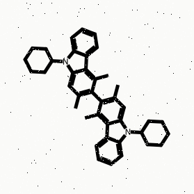 Cc1cc2c(c(C)c1-c1c(C)cc3c(c1C)c1ccccc1n3C1CCCCC1)c1ccccc1n2C1CCCCC1